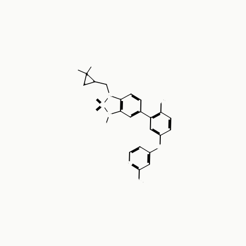 CN1c2cc(-c3cc(Oc4ccnc(C#N)c4)ccc3C#N)ccc2N(CC2CC2(F)F)S1(=O)=O